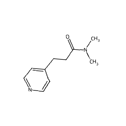 CN(C)C(=O)CCc1ccncc1